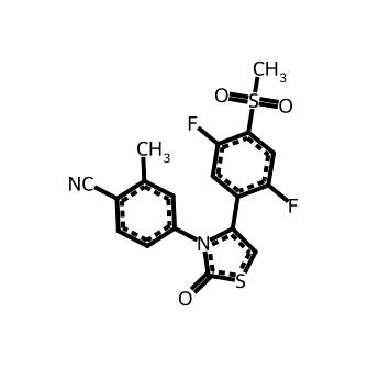 Cc1cc(-n2c(-c3cc(F)c(S(C)(=O)=O)cc3F)csc2=O)ccc1C#N